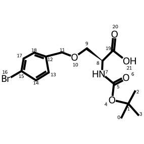 CC(C)(C)OC(=O)N[C@@H](COCc1ccc(Br)cc1)C(=O)O